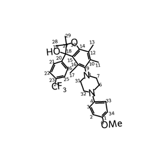 COc1ccc(N2CCN(c3c(C)c(C)c4c(c3C)C(O)(c3ccc(C(F)(F)F)cc3)C(C)(C)O4)CC2)cc1